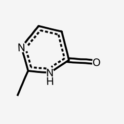 Cc1nccc(=O)[nH]1